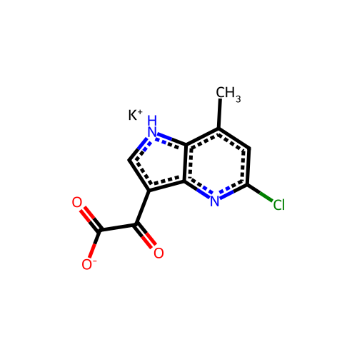 Cc1cc(Cl)nc2c(C(=O)C(=O)[O-])c[nH]c12.[K+]